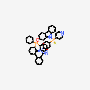 O=P(c1ccccc1)(c1ccccc1)c1cccc2c3ccccc3c3nc4cc(P(=S)(c5ccncc5)n5c6ccccc6c6ccccc65)ccc4n3c12